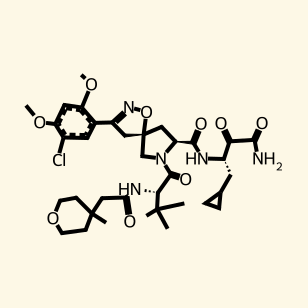 COc1cc(OC)c(C2=NO[C@]3(C2)C[C@@H](C(=O)N[C@@H](CC2CC2)C(=O)C(N)=O)N(C(=O)[C@@H](NC(=O)CC2(C)CCOCC2)C(C)(C)C)C3)cc1Cl